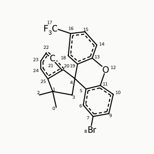 CC1(C)CC2(c3cc(Br)ccc3Oc3ccc(C(F)(F)F)cc32)c2ccccc21